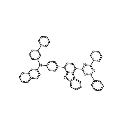 c1ccc(-c2cccc(N(c3ccc(-c4ccc(-c5nc(-c6ccccc6)nc(-c6ccccc6)n5)c5c4oc4ccccc45)cc3)c3ccc4ccccc4c3)c2)cc1